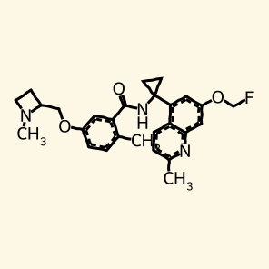 Cc1ccc2c(C3(NC(=O)c4cc(OCC5CCN5C)ccc4C)CC3)cc(OCF)cc2n1